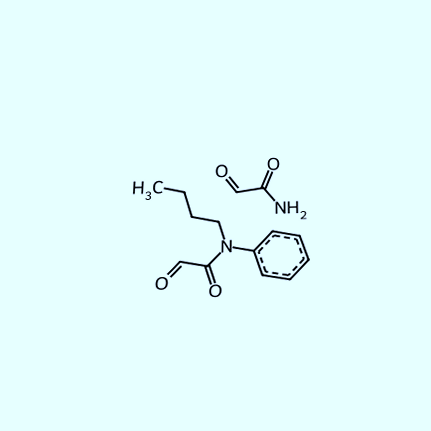 CCCCN(C(=O)C=O)c1ccccc1.NC(=O)C=O